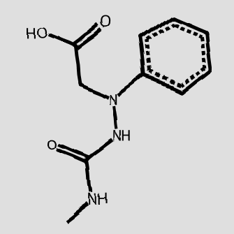 CNC(=O)NN(CC(=O)O)c1ccccc1